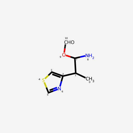 CC(c1cscn1)C(N)OC=O